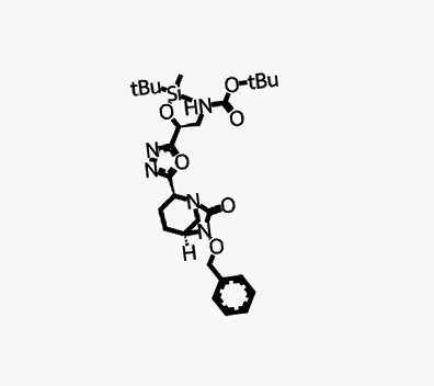 CC(C)(C)OC(=O)NC[C@H](O[Si](C)(C)C(C)(C)C)c1nnc([C@@H]2CC[C@H]3CN2C(=O)N3OCc2ccccc2)o1